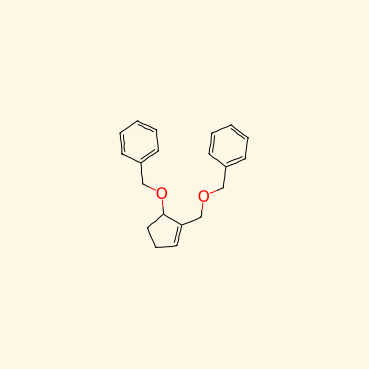 C1=C(COCc2ccccc2)C(OCc2ccccc2)CC1